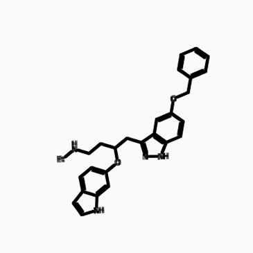 CCNCCC(Cc1n[nH]c2ccc(OCc3ccccc3)cc12)Oc1ccc2cc[nH]c2c1